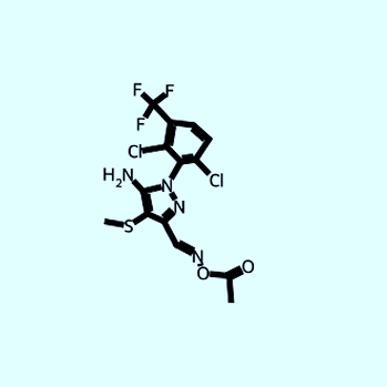 CSc1c(C=NOC(C)=O)nn(-c2c(Cl)ccc(C(F)(F)F)c2Cl)c1N